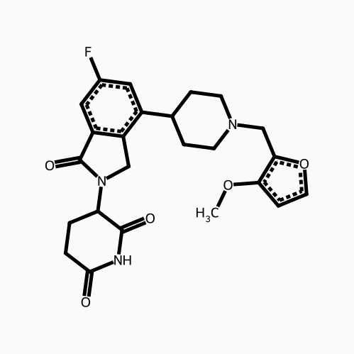 COc1ccoc1CN1CCC(c2cc(F)cc3c2CN(C2CCC(=O)NC2=O)C3=O)CC1